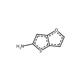 Nc1cc2occc2s1